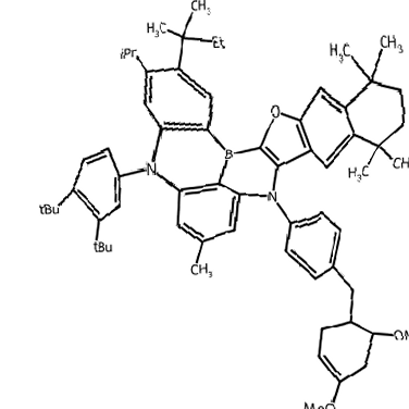 CCC(C)(C)c1cc2c(cc1C(C)C)N(c1ccc(C(C)(C)C)c(C(C)(C)C)c1)c1cc(C)cc3c1B2c1oc2cc4c(cc2c1N3c1ccc(CC2CC=C(OC)CC2OC)cc1)C(C)(C)CCC4(C)C